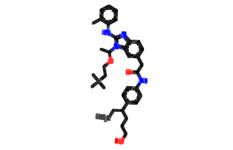 CCOC(=O)CC(CCCO)c1ccc(NC(=O)Cc2ccc3nc(Nc4ccccc4C)n(C(C)OCC[Si](C)(C)C)c3c2)cc1